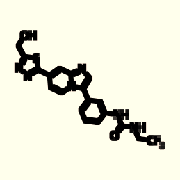 O=C(NCC(F)(F)F)Nc1cccc(-c2cnc3cc(-c4nnc(CO)s4)ccn23)c1